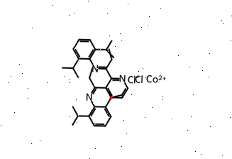 CCC(=Nc1c(C(C)C)cccc1C(C)C)c1cccnc1C(CC)=Nc1c(C(C)C)cccc1C(C)C.[Cl-].[Cl-].[Co+2]